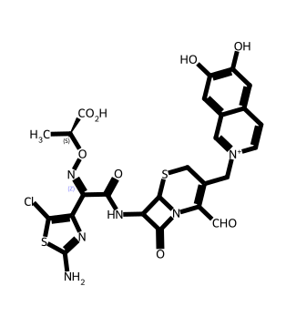 C[C@H](O/N=C(\C(=O)NC1C(=O)N2C(C=O)=C(C[n+]3ccc4cc(O)c(O)cc4c3)CSC12)c1nc(N)sc1Cl)C(=O)O